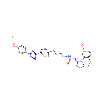 COc1ccc(C(C)C)c(N2CCS/C2=N\C(=O)NCCCCc2ccc(-c3ncn(-c4ccc(OC(F)(F)F)cc4)n3)cc2)c1